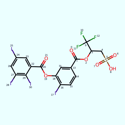 O=C(OC(CS(=O)(=O)O)C(F)(F)F)c1ccc(I)c(OC(=O)c2cc(I)cc(I)c2I)c1